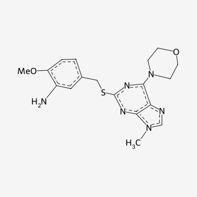 COc1ccc(CSc2nc(N3CCOCC3)c3ncn(C)c3n2)cc1N